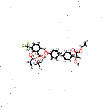 C=CCOC(=O)C(C)(OC)c1ccc(-c2ccc(OCc3ccc(C(F)(F)F)c(OCC=C)c3C(=O)OC(C)(C)C)cc2)cc1